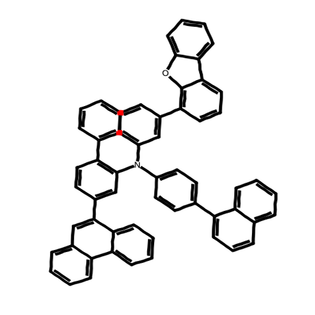 c1ccc(-c2ccc(-c3cc4ccccc4c4ccccc34)cc2N(c2ccc(-c3cccc4ccccc34)cc2)c2cccc(-c3cccc4c3oc3ccccc34)c2)cc1